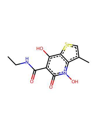 CCNC(=O)c1c(O)c2scc(C)c2n(O)c1=O